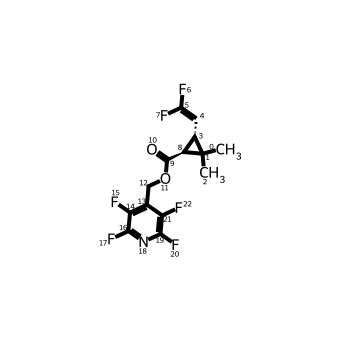 CC1(C)[C@@H](C=C(F)F)[C@@H]1C(=O)OCc1c(F)c(F)nc(F)c1F